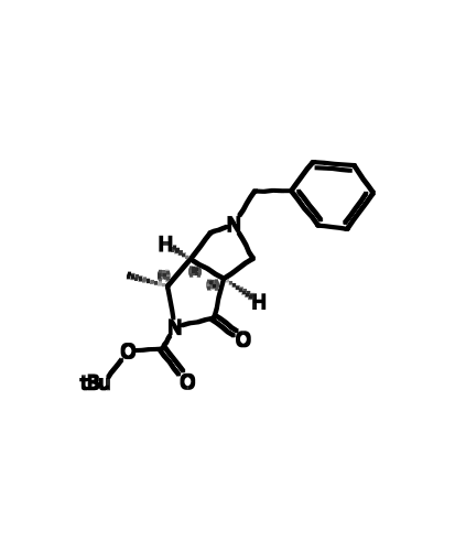 C[C@@H]1[C@H]2CN(Cc3ccccc3)C[C@H]2C(=O)N1C(=O)OC(C)(C)C